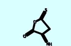 N=C1CC(=S)OC1=O